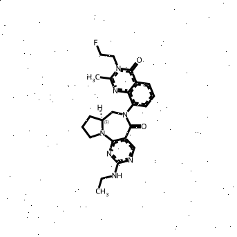 CCNc1ncc2c(n1)N1CCC[C@H]1CN(c1cccc3c(=O)n(CCF)c(C)nc13)C2=O